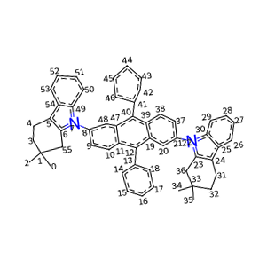 CC1(C)CCc2c(n(-c3ccc4c(-c5ccccc5)c5cc(-n6c7c(c8ccccc86)CCC(C)(C)C7)ccc5c(-c5ccccc5)c4c3)c3ccccc23)C1